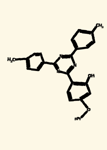 CCCOc1ccc(-c2nc(-c3ccc(C)cc3)nc(-c3ccc(C)cc3)n2)c(O)c1